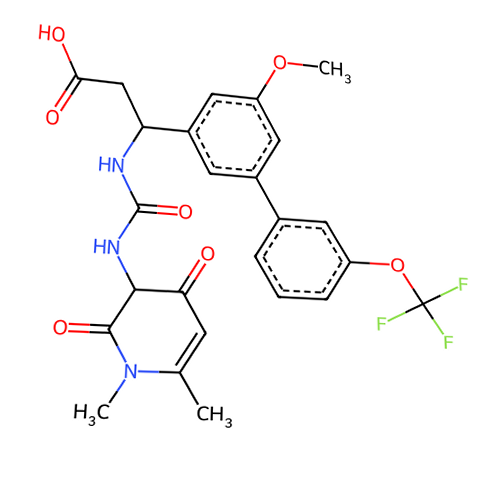 COc1cc(-c2cccc(OC(F)(F)F)c2)cc(C(CC(=O)O)NC(=O)NC2C(=O)C=C(C)N(C)C2=O)c1